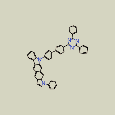 c1ccc(-c2nc(-c3ccccc3)nc(-c3ccc(-c4ccc(-n5c6ccccc6c6cc7cc8ccn(-c9ccccc9)c8cc7cc65)cc4)cc3)n2)cc1